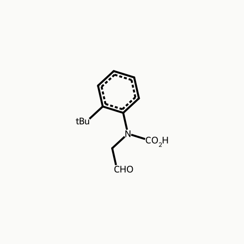 CC(C)(C)c1ccccc1N(CC=O)C(=O)O